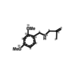 C=C(C)CNCc1ccc(OC)cc1OC